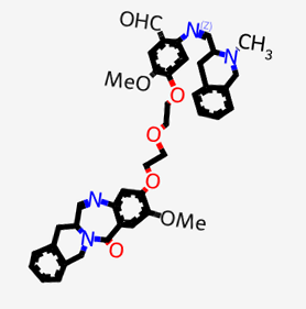 COc1cc2c(cc1OCCOCCOc1cc(/N=C\C3Cc4ccccc4CN3C)c(C=O)cc1OC)N=CC1Cc3ccccc3CN1C2=O